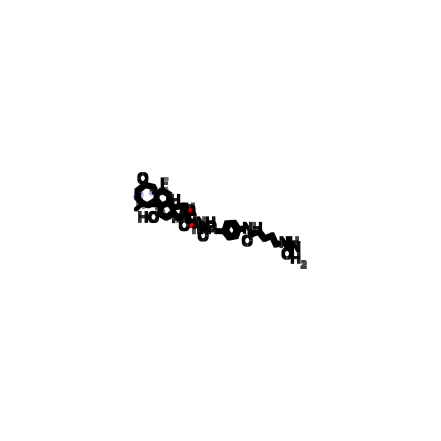 CCCC1O[C@@H]2CC3[C@@H]4C[C@H](F)/C5=C/C(=O)/C=C\[C@H](C)C6C5[C@]64[C@@H](O)C[C@]3(C)[C@]2(C(=O)CNC(=O)OCc2ccc(NC(=O)CCCCNC(N)=O)cc2)O1